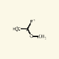 COC(C)F